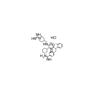 Cc1ccccc1C(Cc1ccc(C(=N)N)cc1)C(=O)N[C@H](C(=O)NCC1CCN(C(=N)N)CC1)C1CCCCC1.Cl